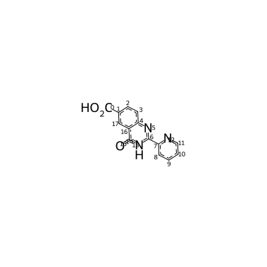 O=C(O)c1ccc2nc(-c3ccccn3)[nH]c(=O)c2c1